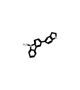 Cn1c2ccccc2c2cc(-c3ccc4c(c3)CCO4)ccc21